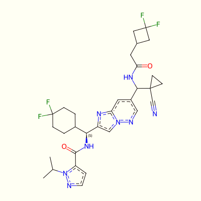 CC(C)n1nccc1C(=O)N[C@H](c1cn2ncc(C(NC(=O)CC3CC(F)(F)C3)C3(C#N)CC3)cc2n1)C1CCC(F)(F)CC1